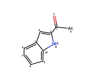 CC(=O)C(=O)c1cc2ccccc2[nH]1